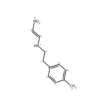 Cc1ccc(CCNC=C[N+](=O)[O-])cc1